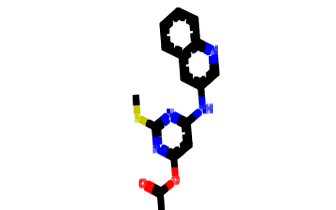 CSc1nc(Nc2cnc3ccccc3c2)cc(OC(C)=O)n1